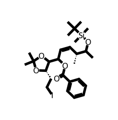 CC(O[Si](C)(C)C(C)(C)C)[C@H](C)/C=C\C(OC(=O)c1ccccc1)C1OC(C)(C)O[C@H]1CCI